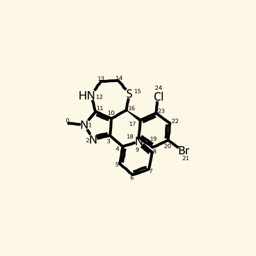 Cn1nc(-c2ccccn2)c2c1NCCS[C@H]2c1ccc(Br)cc1Cl